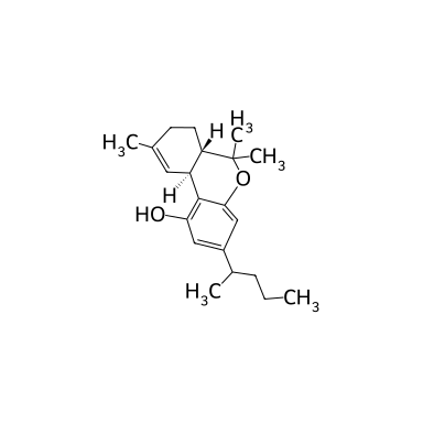 CCCC(C)c1cc(O)c2c(c1)OC(C)(C)[C@H]1CCC(C)=C[C@H]21